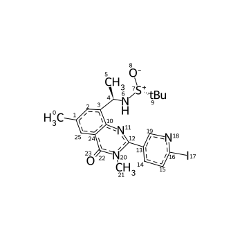 Cc1cc([C@@H](C)N[S@+]([O-])C(C)(C)C)c2nc(-c3ccc(I)nc3)n(C)c(=O)c2c1